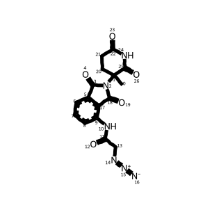 CC1(N2C(=O)c3cccc(NC(=O)CN=[N+]=[N-])c3C2=O)CCC(=O)NC1=O